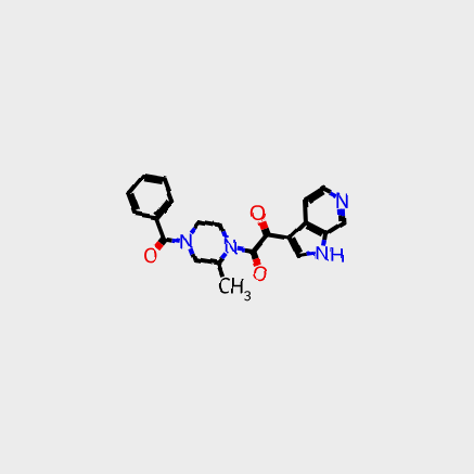 CC1CN(C(=O)c2ccccc2)CCN1C(=O)C(=O)c1c[nH]c2cnccc12